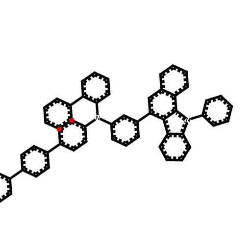 c1ccc(-c2ccc(-c3ccc(N(c4cccc(-c5cc6ccccc6c6c5c5ccccc5n6-c5ccccc5)c4)c4ccccc4-c4ccccc4)cc3)cc2)cc1